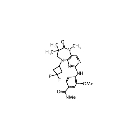 CNC(=O)c1ccc(Nc2ncc3c(n2)N(C2CC(F)(F)C2)CC(C)(C)C(=O)N3C)c(OC)c1